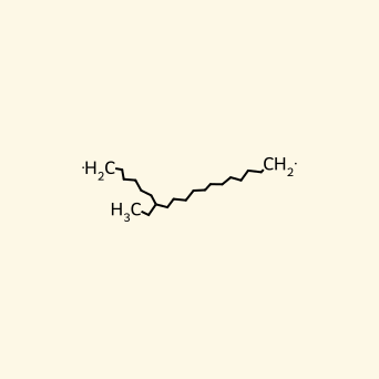 [CH2]CCCCCCCCCCCC(CC)CCCCC[CH2]